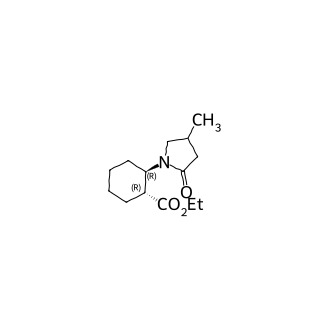 CCOC(=O)[C@@H]1CCCC[C@H]1N1CC(C)CC1=O